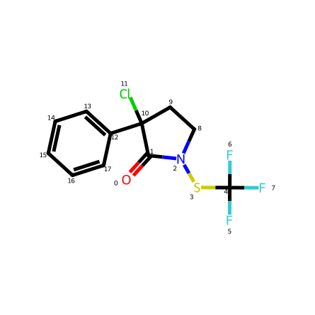 O=C1N(SC(F)(F)F)CCC1(Cl)c1ccccc1